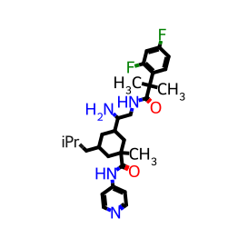 CC(C)CC1CC(C(N)CNC(=O)C(C)(C)c2ccc(F)cc2F)CC(C)(C(=O)Nc2ccncc2)C1